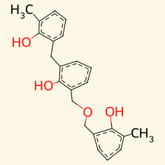 Cc1cccc(COCc2cccc(Cc3cccc(C)c3O)c2O)c1O